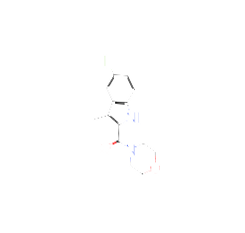 Cc1c(C(=O)N2CCOCC2)[nH]c2ccc(F)cc12